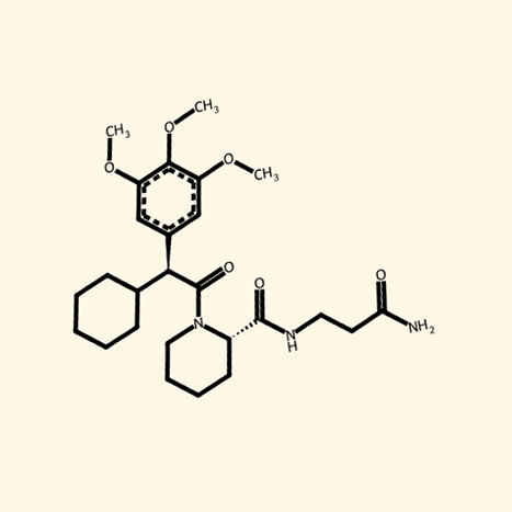 COc1cc([C@@H](C(=O)N2CCCC[C@H]2C(=O)NCCC(N)=O)C2CCCCC2)cc(OC)c1OC